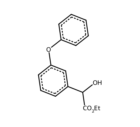 CCOC(=O)C(O)c1cccc(Oc2ccccc2)c1